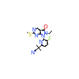 CCn1c(=O)c2cnc(SC)nc2n1-c1nc(C(C)(C)C#N)ccc1F